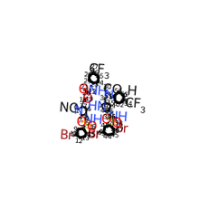 N#CN1C[C@H](NS(=O)(=O)c2cc(Br)ccc2Br)C[C@@H]1COC(=O)Nc1ccc(C(F)(F)F)cc1.O=C(O)N(C[C@H]1C[C@@H](NS(=O)(=O)c2cc(Br)ccc2Br)CN1)c1ccc(C(F)(F)F)cc1